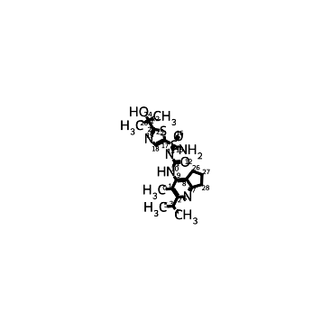 Cc1c(C(C)C)nc2c(c1NC(=O)N=S(N)(=O)c1cnc(C(C)(C)O)s1)CCC2